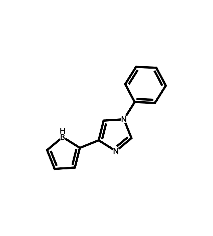 B1C=CC=C1c1cn(-c2ccccc2)cn1